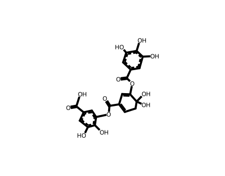 O=C(Oc1cc(C(=O)O)cc(O)c1O)C1=CCC(O)(O)C(OC(=O)c2cc(O)c(O)c(O)c2)=C1